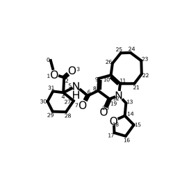 COC(=O)C1(NC(=O)c2cc3c(n(CC4CCCO4)c2=O)CCCCCC3)CCCCC1